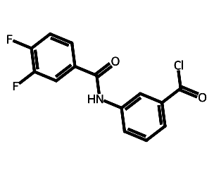 O=C(Cl)c1cccc(NC(=O)c2ccc(F)c(F)c2)c1